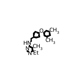 CCc1ncnc(NCCc2ccc(Oc3cc(C)cc(C)c3)cc2)c1C